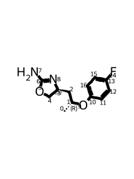 C[C@H](C[C@H]1COC(N)=N1)Oc1ccc(F)cc1